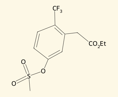 CCOC(=O)Cc1cc(OS(C)(=O)=O)ccc1C(F)(F)F